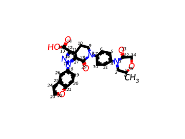 C[C@@H]1CN(c2ccc(N3CCc4c(C(=O)O)nn(-c5ccc6occc6c5)c4C3=O)cc2)C(=O)CO1